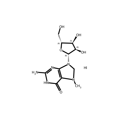 CN1CN([C@@H]2O[C@H](CO)[C@@H](O)[C@H]2O)c2nc(N)[nH]c(=O)c21.I